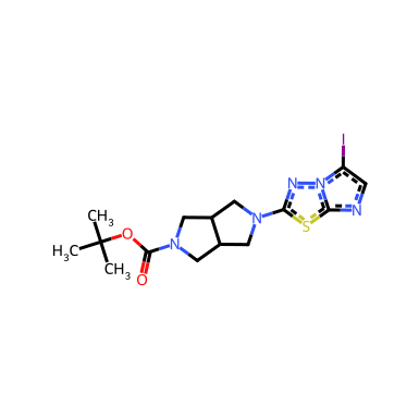 CC(C)(C)OC(=O)N1CC2CN(c3nn4c(I)cnc4s3)CC2C1